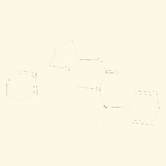 CN(C(=O)c1cccnc1)C(=O)N(C)C1=NC(c2ccccc2)=CC1